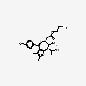 CC(=N)N1c2sc(C)c(C)c2C(c2ccc(Cl)cc2)=N[C@@H](CC(=O)NCCN)C1N